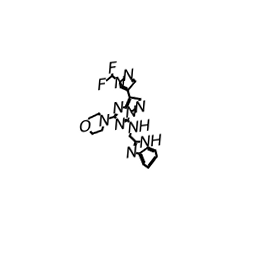 FC(F)n1cc(-c2cnn3c(NCc4nc5ccccc5[nH]4)nc(N4CCOCC4)nc23)cn1